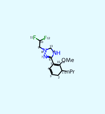 CCCC1CC=CC(C2=NN(CC(F)F)CN2)=C1OC